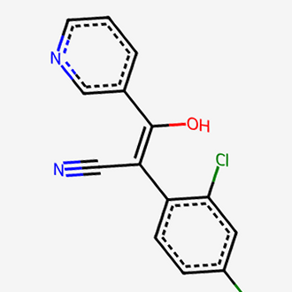 N#CC(=C(O)c1cccnc1)c1ccc(Cl)cc1Cl